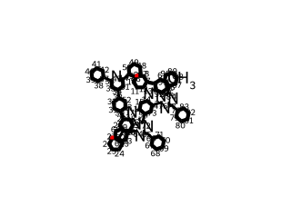 Cc1ccc2c(c1)c1ccccc1n2-c1cc(-n2c3ccc(-c4ccccc4)cc3c3ccc(-c4cc(-c5ccccc5)nc(-c5ccccc5)c4)cc32)c(-c2nc(-c3ccccc3)nc(-c3ccccc3)n2)cc1-c1nc(-c2ccccc2)nc(-c2ccccc2)n1